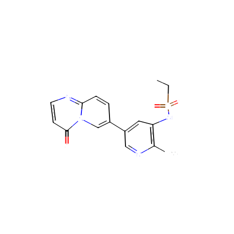 COc1ncc(-c2ccc3nccc(=O)n3c2)cc1NS(=O)(=O)CC(F)(F)F